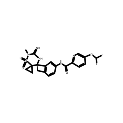 CN1C(=N)N[C@@]2(Cc3ccc(NC(=O)c4ccc(OC(F)F)cn4)cc32)C2(CC2)S1(=O)=O